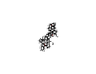 Cc1cc(-c2ccc(N(c3ccc4ccccc4c3)c3c(C)cccc3-c3ccc4ccccc4c3)c(C)c2)ccc1N(c1ccc2ccccc2c1)c1c(C)cccc1-c1ccc2ccccc2c1